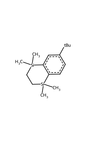 CC(C)(C)c1ccc2c(c1)[Si](C)(C)CC[Si]2(C)C